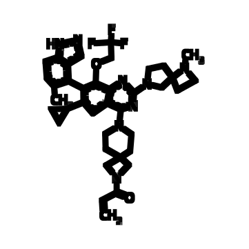 C=CC(=O)N1CC2(CCN(c3nc(N4CCC5(CCN5C)C4)nc4c(OCC(F)(F)F)c(-c5c(C)ccc6[nH]ncc56)c(C5CC5)cc34)CC2)C1